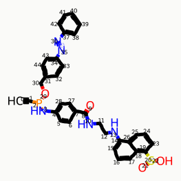 C#CP(Nc1ccc(C(=O)NCCNc2cccc3c(S(=O)O)cccc23)cc1)OCc1ccc(/N=N/c2ccccc2)cc1